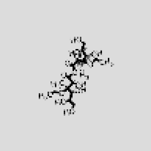 CCO[C@@](C)([C@H](O)[C@H](O)CO)[C@@H](O)C(=O)OC(=O)[C@H](O)[C@@](C)(OCC)[C@H](O)[C@H](O)CO